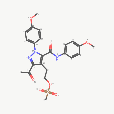 COc1ccc(NC(=O)c2c(CCOS(C)(=O)=O)c(C(C)=O)nn2-c2ccc(OC)cc2)cc1